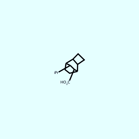 CC(C)C1C2CCC(C3CCC32)C1C(=O)O